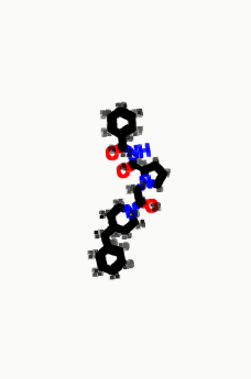 O=C(NC(=O)[C@H]1CCCN1CC(=O)N1CCC(Cc2ccccc2)CC1)c1ccccc1